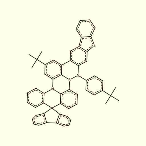 CC(C)(C)c1ccc(N2B3c4cccc5c4N(c4ccccc4C54c5ccccc5-c5ccccc54)c4cc(C(C)(C)C)cc(c43)-c3cc4c(cc32)sc2ccccc24)cc1